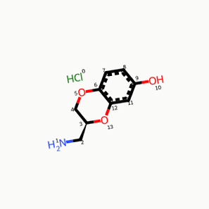 Cl.NC[C@H]1COc2ccc(O)cc2O1